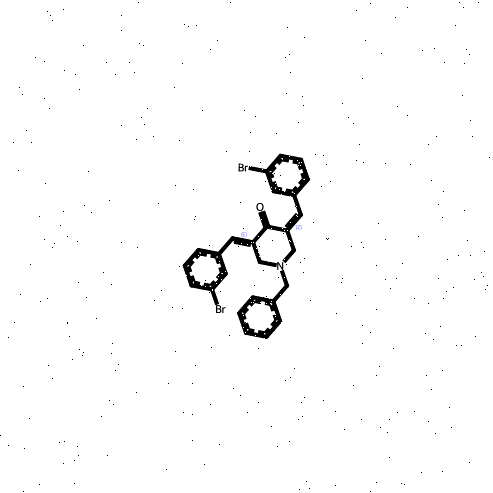 O=C1/C(=C\c2cccc(Br)c2)CN(Cc2ccccc2)C/C1=C\c1cccc(Br)c1